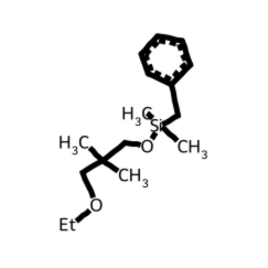 CCOCC(C)(C)CO[Si](C)(C)Cc1ccccc1